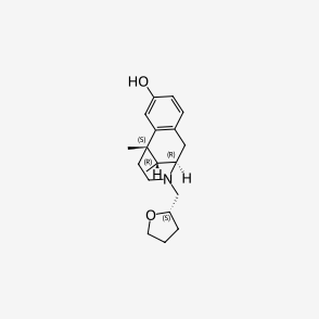 C[C@H]1[C@H]2Cc3ccc(O)cc3[C@@]1(C)CCN2C[C@@H]1CCCO1